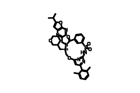 Cc1cccc(C)c1-c1cc2nc(n1)NS(=O)(=O)c1cccc(c1)C(=O)N(Cc1cnc3oc(C(C)C)cc3n1)[C@H](CC1CCCOC1)CO2